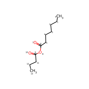 CCCCCCC(=O)OC(=O)CCC